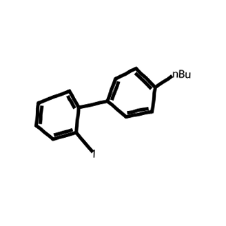 CCCCc1ccc(-c2ccccc2I)cc1